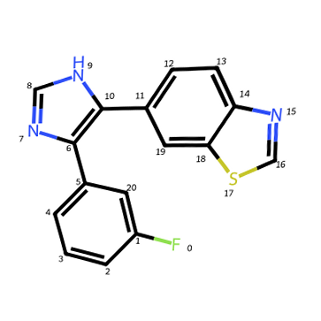 Fc1cccc(-c2nc[nH]c2-c2ccc3ncsc3c2)c1